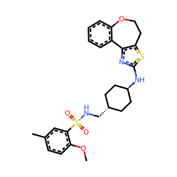 COc1ccc(C)cc1S(=O)(=O)NC[C@H]1CC[C@H](Nc2nc3c(s2)CCOc2ccccc2-3)CC1